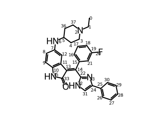 CCN1CCC(Nc2ccc3c(c2)/C(=C(\c2cccc(F)c2)c2nc(-c4ccccc4)c[nH]2)C(=O)N3)CC1